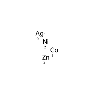 [Ag].[Co].[Ni].[Zn]